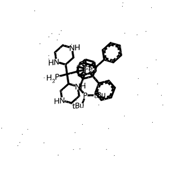 CC(C)(C)P(C[C]12[C]3(c4ccccc4)[C]4(c5ccccc5)[CH]5[C]1(C(P)(C1CNCCN1)C1CNCCN1)[Fe]54231678[CH]2[CH]1[CH]6[CH]7[CH]28)C(C)(C)C